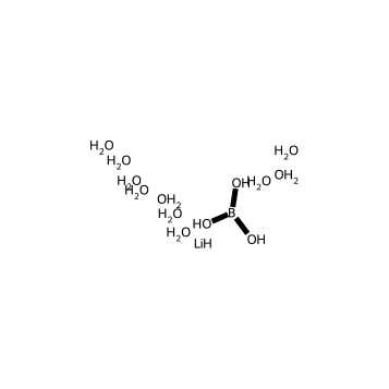 O.O.O.O.O.O.O.O.O.O.OB(O)O.[LiH]